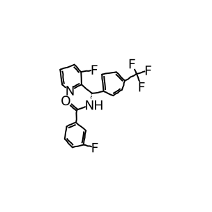 O=C(N[C@@H](c1ccc(C(F)(F)F)cc1)c1ncccc1F)c1cccc(F)c1